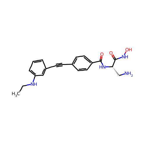 CCNc1cccc(C#Cc2ccc(C(=O)N[C@@H](CN)C(=O)NO)cc2)c1